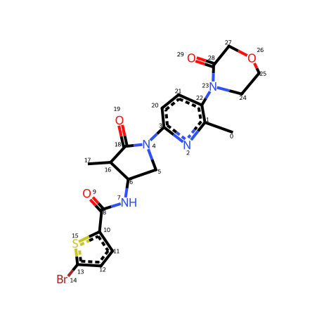 Cc1nc(N2CC(NC(=O)c3ccc(Br)s3)C(C)C2=O)ccc1N1CCOCC1=O